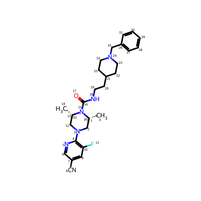 C[C@@H]1CN(c2ncc(C#N)cc2F)C[C@H](C)N1C(=O)NCCC1CCN(Cc2ccccc2)CC1